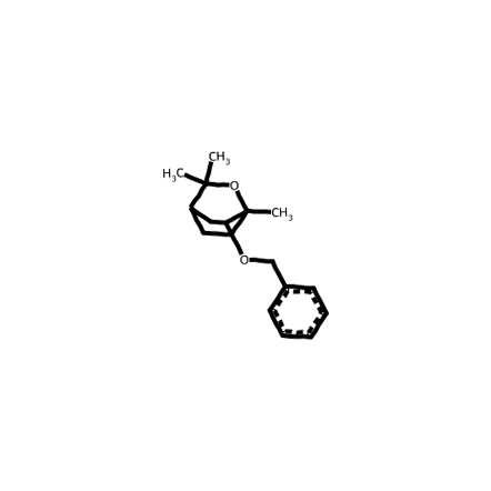 CC1(C)OC2(C)CCC1CC2OCc1ccccc1